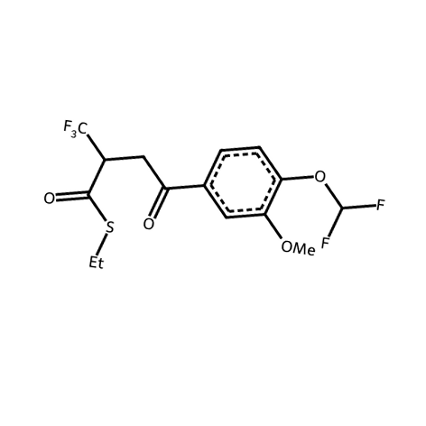 CCSC(=O)C(CC(=O)c1ccc(OC(F)F)c(OC)c1)C(F)(F)F